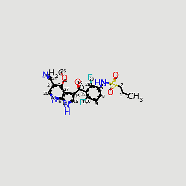 CCCS(=O)(=O)Nc1ccc(F)c(C(=O)c2c[nH]c3ncc(C#N)c(OC)c23)c1F